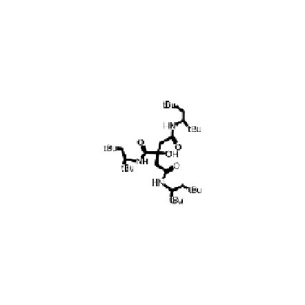 CC(C)(C)CC(NC(=O)CC(O)(CC(=O)NC(CC(C)(C)C)C(C)(C)C)C(=O)NC(CC(C)(C)C)C(C)(C)C)C(C)(C)C